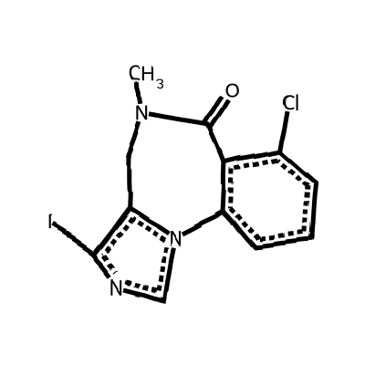 CN1Cc2c(I)ncn2-c2cccc(Cl)c2C1=O